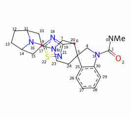 CNC(=O)N1CC2(CCN(C3CC4CCC(C3)N4c3nc(C)ns3)CC2)c2ccccc21